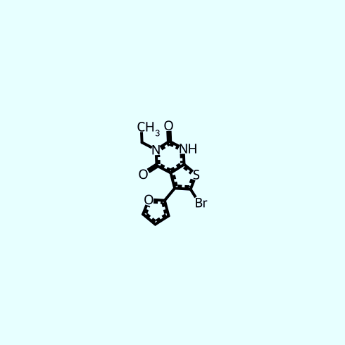 CCn1c(=O)[nH]c2sc(Br)c(-c3ccco3)c2c1=O